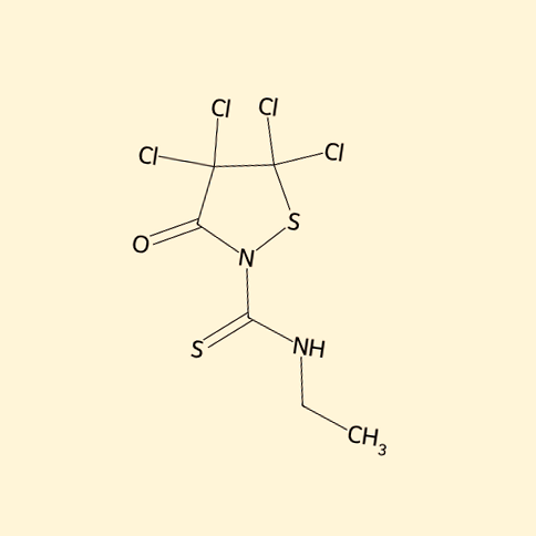 CCNC(=S)N1SC(Cl)(Cl)C(Cl)(Cl)C1=O